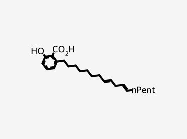 CCCCCC=CCC=CCCCCCCCc1cccc(O)c1C(=O)O